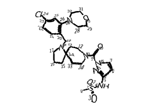 CS(=O)(=O)Nc1ccn(C(=O)N2CCC3(CCCN3Cc3ccc(Cl)cc3N3CCOCC3)CC2)n1